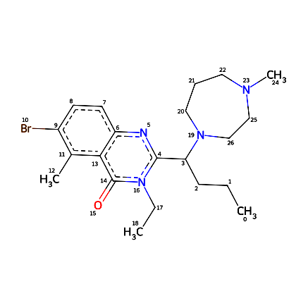 CCCC(c1nc2ccc(Br)c(C)c2c(=O)n1CC)N1CCCN(C)CC1